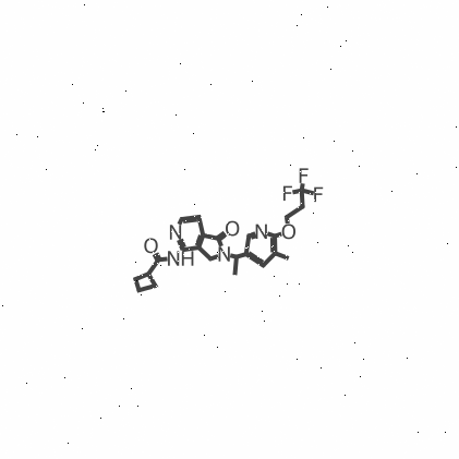 Cc1cc(C(C)N2Cc3c(ccnc3NC(=O)C3CCC3)C2=O)cnc1OCCC(F)(F)F